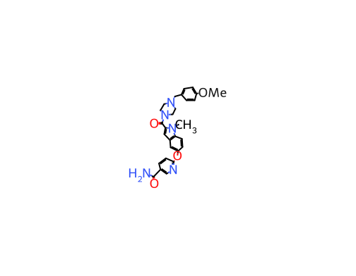 COc1ccc(CN2CCN(C(=O)c3cc4cc(Oc5ccc(C(N)=O)cn5)ccc4n3C)CC2)cc1